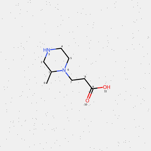 CC1CNCCN1CCC(=O)O